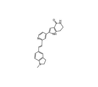 CN1CCc2cc(C=Cc3cc(-c4cc5c([nH]4)CCNC5=O)ccn3)ccc21